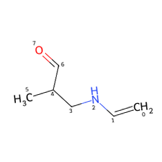 C=CNCC(C)C=O